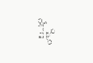 CC(C)(C)[C@@H](NCCCN1C(=O)c2ccccc2C1=O)c1nc(-c2ccccc2)cn1Cc1ccccc1